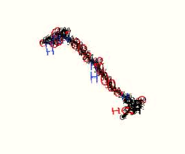 CC#C[C@]1(O)CC[C@H]2[C@@H]3CCC4=CC(=O)CCC4=C3[C@@H](c3ccc(N(C)CCOCCOCCOCCOCC(=O)NCCCOCCOCCOCCCNc4cccc5c4C(=O)N(C4CCC(=O)NC4=O)C5=O)cc3)C[C@@]21C